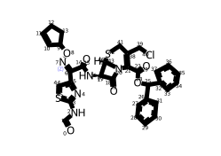 O=CNc1nc(/C(=N/OC2C=CCC2)C(=O)N[C@@H]2C(=O)N3C(C(=O)OC(c4ccccc4)c4ccccc4)=C(CCl)CS[C@H]23)cs1